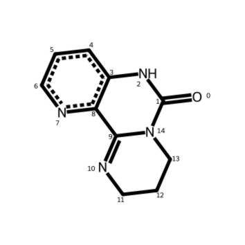 O=C1Nc2cccnc2C2=NCCCN12